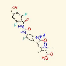 Cc1[nH]c(/C=C2\C(=O)Nc3cc(NC(=O)NC(=O)c4c(F)cc(CO)cc4F)c(F)cc32)c(C)c1C(=O)O